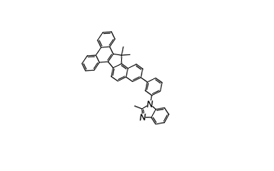 Cc1nc2ccccc2n1-c1cccc(-c2ccc3c4c(ccc3c2)-c2c(c3ccccc3c3ccccc23)C4(C)C)c1